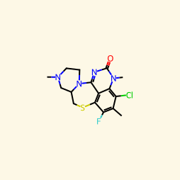 Cc1c(F)c2c3c(nc(=O)n(C)c3c1Cl)N1CCN(C)CC1CS2